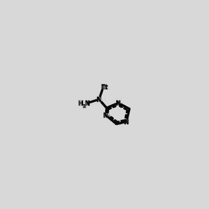 CCN(N)c1ncncn1